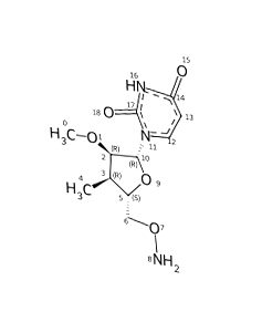 CO[C@@H]1[C@H](C)[C@@H](CON)O[C@H]1n1ccc(=O)[nH]c1=O